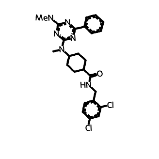 CNc1nc(-c2ccccc2)nc(N(C)C2CCC(C(=O)NCc3ccc(Cl)cc3Cl)CC2)n1